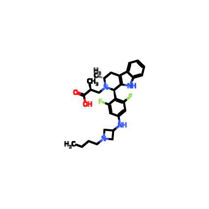 CCCCN1CC(Nc2cc(F)c([C@@H]3c4[nH]c5ccccc5c4C[C@@H](C)N3C[C@H](C)C(=O)O)c(F)c2)C1